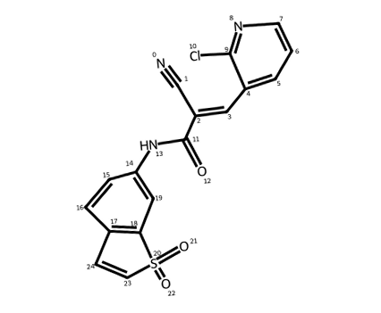 N#C/C(=C\c1cccnc1Cl)C(=O)Nc1ccc2c(c1)S(=O)(=O)C=C2